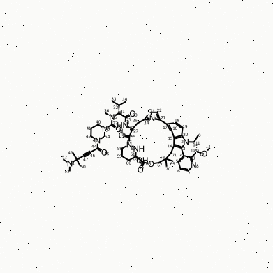 CCn1c(-c2cccnc2[C@H](C)OC)c2c3cc(ccc31)-c1csc(n1)C[C@H](NC(=O)[C@H](C(C)C)N(C)C(=O)N1CCCN(C(=O)C#CC(C)(C)N(C)C)C1)C(=O)N1CCC[C@@](O)(N1)C(=O)OCC(C)(C)C2